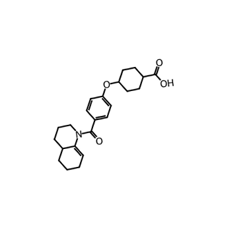 O=C(O)C1CCC(Oc2ccc(C(=O)N3CCCC4CCCC=C43)cc2)CC1